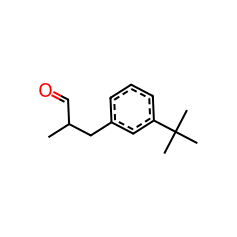 CC(C=O)Cc1cccc(C(C)(C)C)c1